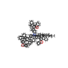 CCCCCCCC1(CCCCCCC)c2ccccc2-c2c1c1c(c3c2oc2ccccc23)-c2ccc(N(c3ccc4c(c3)C(C)(C)c3c5c(c6c(oc7ccccc76)c3-4)-c3ccccc3C5(C)C)c3ccc4c(c3)C(c3ccccc3)(c3ccccc3)c3cc5c(cc3-4)C(c3ccccc3)(c3ccccc3)c3ccc4oc6ccccc6c4c3-5)cc2C1(CCCCCCC)CCCCCCC